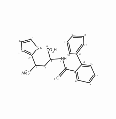 CSC(CC(NC(=O)c1ccccc1-c1ccccc1)C(=O)O)c1nccs1